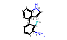 Nc1cccc(-c2cccc3[nH]ccc23)c1F